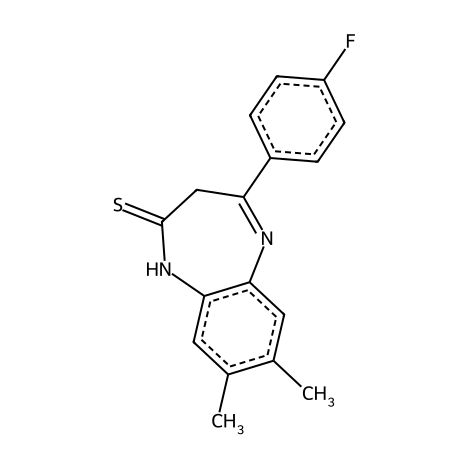 Cc1cc2c(cc1C)NC(=S)CC(c1ccc(F)cc1)=N2